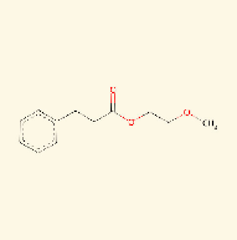 COCCOC(=O)CCc1ccccc1